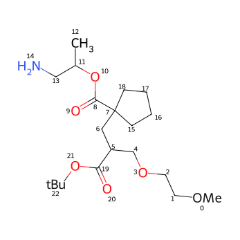 COCCOCC(CC1(C(=O)OC(C)CN)CCCC1)C(=O)OC(C)(C)C